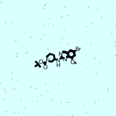 COc1cc(Br)cc2cnc(NC3CCCN(C(=O)OC(C)(C)C)C3)nc12